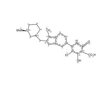 CCc1c(-c2ccc3c(c2)cc(CN2CCC[C@H](NC)C2)n3C)[nH]c(=O)c(C(=O)O)c1O